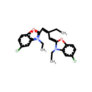 CCC(=Cc1oc2ccc(Cl)cc2[n+]1CC)C=C1Oc2ccc(Cl)cc2N1CC